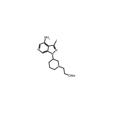 COCCN1CCCC(n2nc(I)c3c(N)cncc32)C1